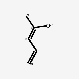 C=C/C=C(/C)[O]